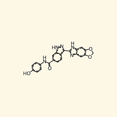 O=C(Nc1ccc(O)cc1)c1ccc2c(-c3nc4cc5c(cc4[nH]3)OCO5)n[nH]c2c1